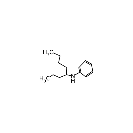 C[CH]CCC(CCC)Nc1ccccc1